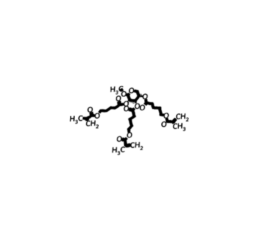 C=C(C)C(=O)OCCCCC(=O)O[C@@H]1[C@@H](OC(=O)CCCCOC(=O)C(=C)C)[C@@H](OC)OC[C@H]1OC(=O)CCCCOC(=O)C(=C)C